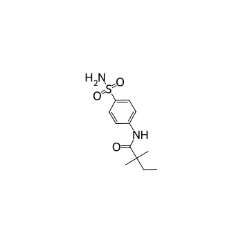 CCC(C)(C)C(=O)Nc1ccc(S(N)(=O)=O)cc1